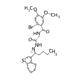 CCCC/C(=N\NC(=O)CNC(=O)c1cc(OC)c(OC)cc1Br)c1csc2ccccc12